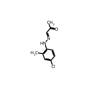 CC(=O)C=NNc1ccc(Cl)cc1C